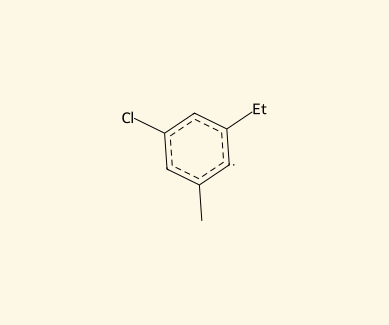 CCc1[c]c(C)cc(Cl)c1